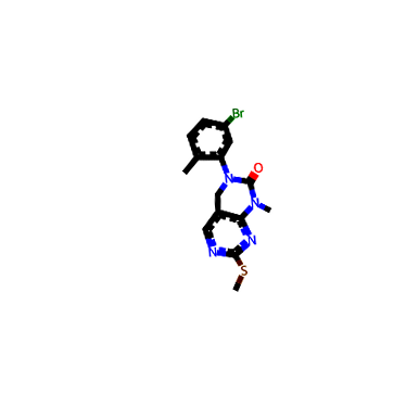 CSc1ncc2c(n1)N(C)C(=O)N(c1cc(Br)ccc1C)C2